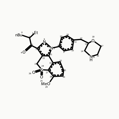 CCCCC(CC)C(=O)c1nn(-c2ccc(CC3CNCCO3)cc2)c2c1CS(=O)(=O)c1c(OC)cccc1-2